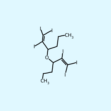 CCCC(OC(CCC)C(I)=C(I)I)C(I)=C(I)I